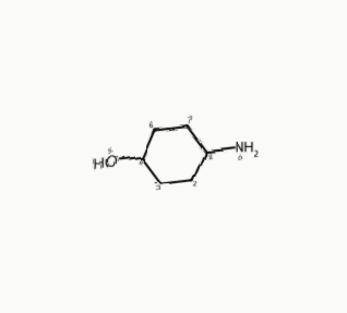 NC1C[CH]C(O)CC1